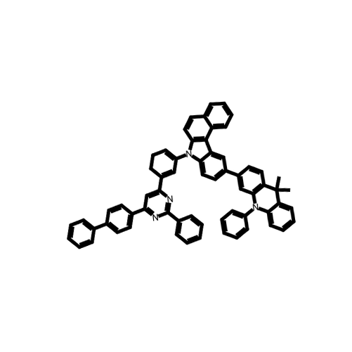 CC1(C)c2ccccc2N(c2ccccc2)c2cc(-c3ccc4c(c3)c3c5ccccc5ccc3n4C3=CCCC(c4cc(-c5ccc(-c6ccccc6)cc5)nc(-c5ccccc5)n4)=C3)ccc21